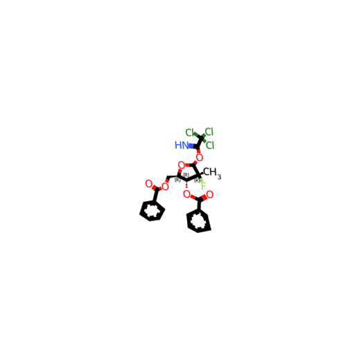 C[C@]1(F)C(OC(=N)C(Cl)(Cl)Cl)O[C@H](COC(=O)c2ccccc2)[C@H]1OC(=O)c1ccccc1